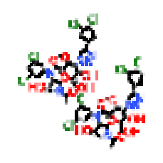 CO[C@@H]1[C@@H](n2cc(-c3ccc(Cl)c(Cl)c3)nn2)[C@@H](O)[C@@H](CO)O[C@H]1C(=O)N(c1cc(Cl)cc(Cl)c1)[C@@H]1CN(C(C)=O)C[C@H]1O.CO[C@@H]1[C@@H](n2cc(-c3ccc(Cl)c(Cl)c3)nn2)[C@@H](O)[C@@H](CO)O[C@H]1C(=O)N(c1cc(Cl)cc(Cl)c1)[C@H]1CN(C(C)=O)C[C@@H]1O